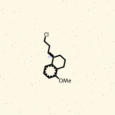 COc1cccc2c1CCC/C2=C\CCCl